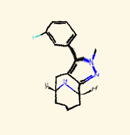 Cn1nc2c(c1-c1cccc(F)c1)C[C@H]1CCC[C@@H]2N1